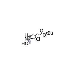 Cc1cc(CCC(=O)OC(C)(C)C)c(Cl)cc1/C(N)=N/O